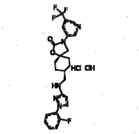 Cl.Cl.O=C1O[C@]2(CC[C@H](CNc3ccn(-c4ccccc4F)n3)CC2)CN1c1cncc(C(F)(F)F)c1